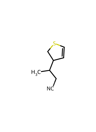 CC(CC#N)C1C=CSC1